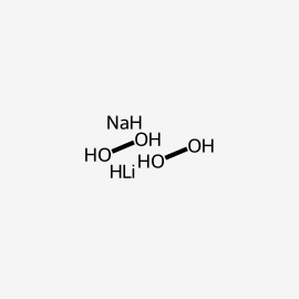 OO.OO.[LiH].[NaH]